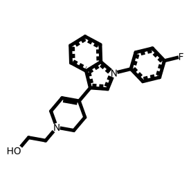 OCCN1CC=C(c2cn(-c3ccc(F)cc3)c3ccccc23)CC1